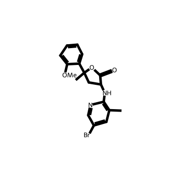 COc1ccccc1C1(C)CC(Nc2ncc(Br)cc2C)C(=O)O1